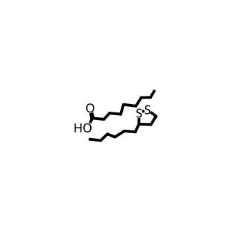 CCCCCCC1CCSS1.CCCCCCCCC(=O)O